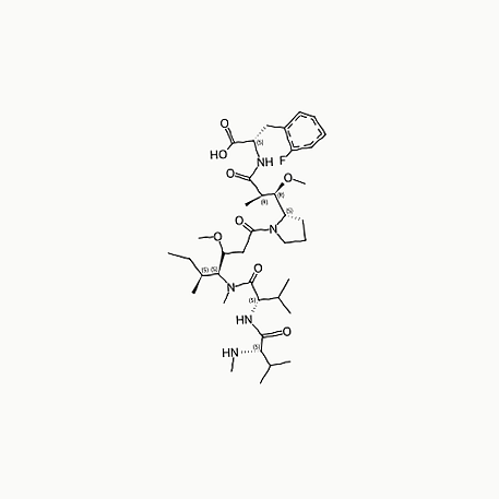 CC[C@H](C)[C@@H](C(CC(=O)N1CCC[C@H]1[C@H](OC)[C@@H](C)C(=O)N[C@@H](Cc1ccccc1F)C(=O)O)OC)N(C)C(=O)[C@@H](NC(=O)[C@@H](NC)C(C)C)C(C)C